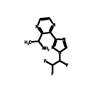 CC(N)c1nccnc1-c1ncn(C(F)C(F)F)n1